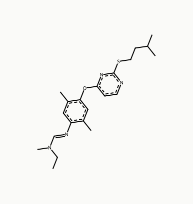 CCN(C)/C=N/c1cc(C)c(Oc2ccnc(SCCC(C)C)n2)cc1C